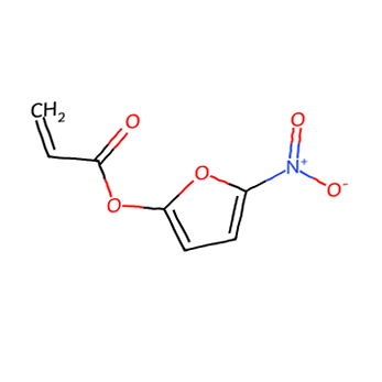 C=CC(=O)Oc1ccc([N+](=O)[O-])o1